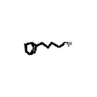 O=C(O)CCCCC1CC2C=CC1O2